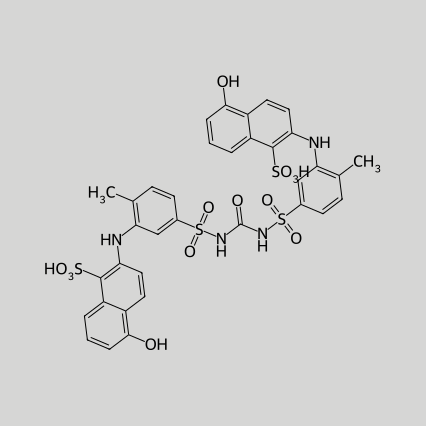 Cc1ccc(S(=O)(=O)NC(=O)NS(=O)(=O)c2ccc(C)c(Nc3ccc4c(O)cccc4c3S(=O)(=O)O)c2)cc1Nc1ccc2c(O)cccc2c1S(=O)(=O)O